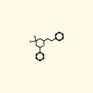 BrC1(Br)CC(CCc2ccccc2)OC(c2ccccc2)C1